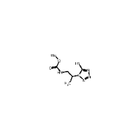 CC(CNC(=O)OC(C)(C)C)n1nnnc1S